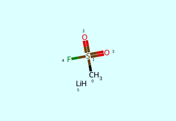 CS(=O)(=O)F.[LiH]